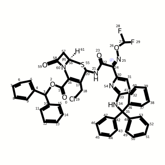 O=C(OC(c1ccccc1)c1ccccc1)C1=C(CCl)C(NC(=O)/C(=N\OC(F)F)c2csc(NC(c3ccccc3)(c3ccccc3)c3ccccc3)n2)S[C@@H]2CC(=O)N12